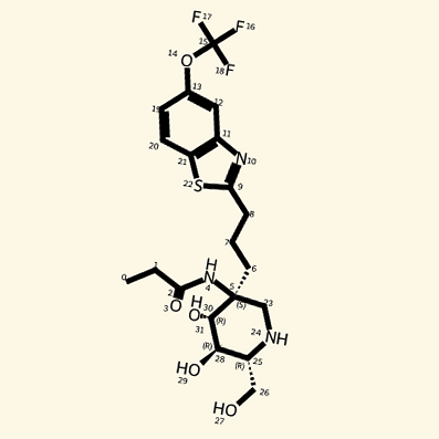 CCC(=O)N[C@@]1(CCCc2nc3cc(OC(F)(F)F)ccc3s2)CN[C@H](CO)[C@@H](O)[C@@H]1O